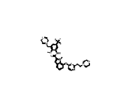 COc1c(CN2CCOCC2)cc(C(F)(F)F)cc1NC(=O)c1cc2cccc(Oc3ccnc(CCN4CCOCC4)n3)c2n1C